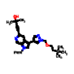 CCCC(C)n1cc(-c2cnn(COCC[Si](C)(C)C)c2)c2cc(C#CC(C)(C)O)ncc21